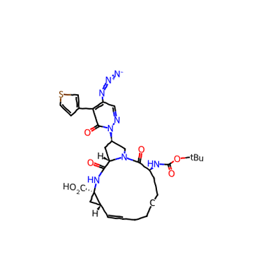 CC(C)(C)OC(=O)N[C@H]1CCCCC/C=C\[C@@H]2C[C@@]2(C(=O)O)NC(=O)[C@@H]2C[C@@H](n3ncc(N=[N+]=[N-])c(-c4ccsc4)c3=O)CN2C1=O